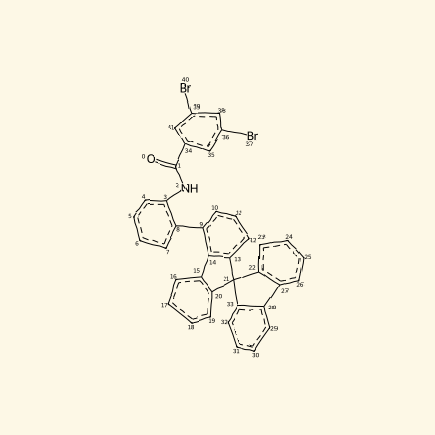 O=C(Nc1ccccc1-c1cccc2c1-c1ccccc1C21c2ccccc2-c2ccccc21)c1cc(Br)cc(Br)c1